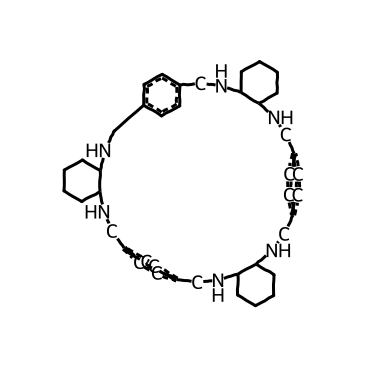 c1cc2ccc1CNC1CCCCC1NCc1ccc(cc1)CNC1CCCCC1NCc1ccc(cc1)CNC1CCCCC1NC2